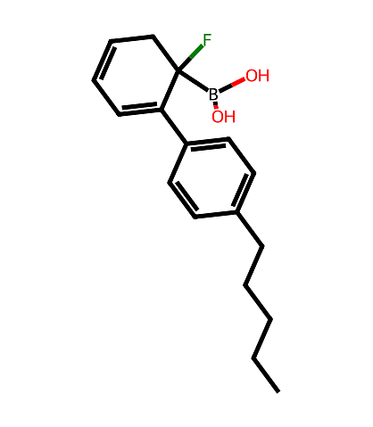 CCCCCc1ccc(C2=CC=CCC2(F)B(O)O)cc1